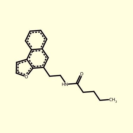 CCCCC(=O)NCCc1cc2ccccc2c2ccoc12